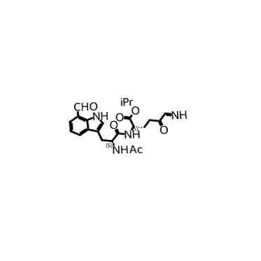 CC(=O)N[C@@H](Cc1c[nH]c2c(C=O)cccc12)C(=O)N[C@@H](CCC(=O)C=N)C(=O)OC(C)C